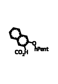 CCCCCOc1cc2ccccc2cc1C(=O)O